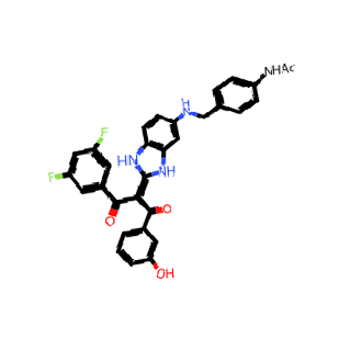 CC(=O)Nc1ccc(CNc2ccc3c(c2)N/C(=C(\C(=O)c2cccc(O)c2)C(=O)c2cc(F)cc(F)c2)N3)cc1